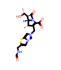 C[C@@H](O)[C@H]1C(=O)N2C(C(=O)[O-])=C(Cn3cc4sc(CNC=O)c[n+]4c3)[C@H](C)[C@H]12